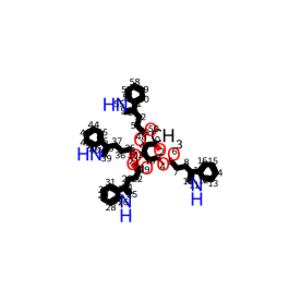 C[C@@H]1O[C@@H](OC(=O)CCc2c[nH]c3ccccc23)[C@@H](OC(=O)CCc2c[nH]c3ccccc23)[C@H](OCCCc2c[nH]c3ccccc23)[C@@H]1OC(=O)CCc1c[nH]c2ccccc12